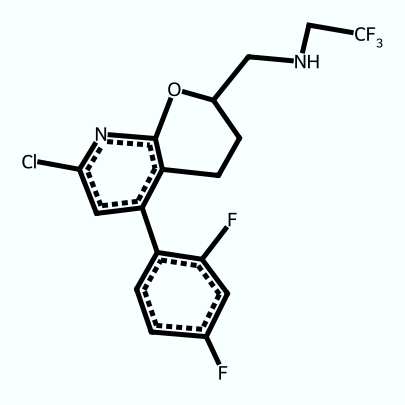 Fc1ccc(-c2cc(Cl)nc3c2CCC(CNCC(F)(F)F)O3)c(F)c1